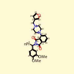 [CH2]CCC(c1ccc(OC)c(OC)c1)N1C(=O)c2cccc(N3CCN(Cc4ccoc4)CC3)c2C1=O